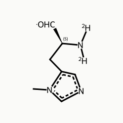 [2H]N([2H])[C@H]([C]=O)Cc1cncn1C